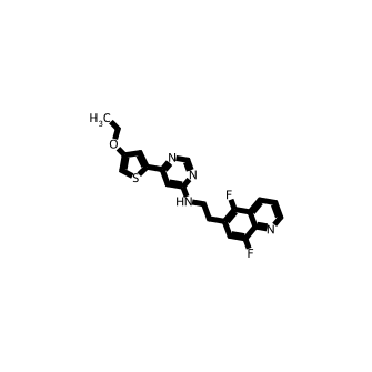 CCOc1csc(-c2cc(NCCc3cc(F)c4ncccc4c3F)ncn2)c1